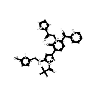 CC(C)(C)C(=O)n1nc(-c2ccc(C(=O)c3ccccn3)n(CC(=O)c3ccco3)c2=O)cc1NCc1ccc(Cl)s1